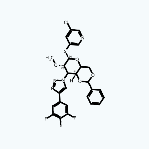 CO[C@H]1C(n2cc(-c3cc(F)c(F)c(F)c3)nn2)[C@H]2OC(c3ccccc3)OCC2O[C@@H]1Sc1cncc(Cl)c1